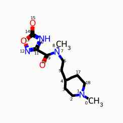 CN1CCC(CCN(C)C(=O)c2noc(=O)[nH]2)CC1